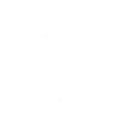 C/C=C(/C=C1\OC(C)=C(C(=O)O)C1=O)c1cccnc1C